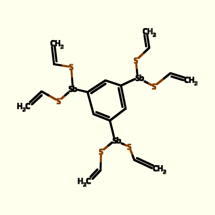 C=C[S][Sb]([S]C=C)[c]1c[c]([Sb]([S]C=C)[S]C=C)c[c]([Sb]([S]C=C)[S]C=C)c1